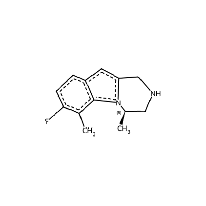 Cc1c(F)ccc2cc3n(c12)[C@H](C)CNC3